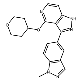 Cn1ncc2cc(-c3n[nH]c4ccnc(OC5CCOCC5)c34)ccc21